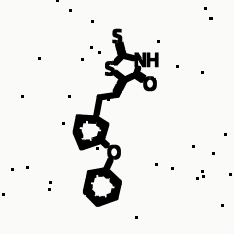 O=C1NC(=S)SC1=CCc1cccc(Oc2ccccc2)c1